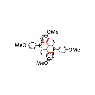 COc1ccc(P(c2ccc(OC)cc2)c2ccc3c(c2-c2c(P(c4ccc(OC)cc4)c4ccc(OC)cc4)ccc4c2OCO4)OCO3)cc1